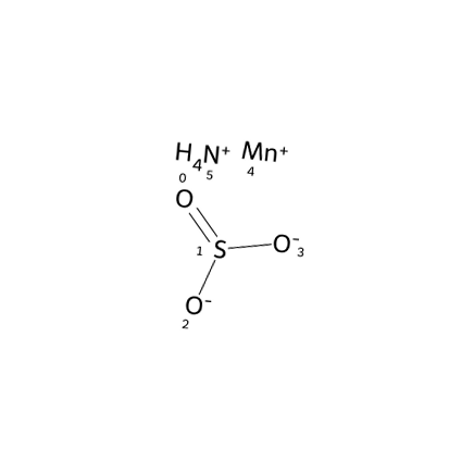 O=S([O-])[O-].[Mn+].[NH4+]